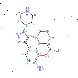 CC(Oc1cc(-c2cnn(C3CCNCC3)c2)cnc1N)C1CCCCC1